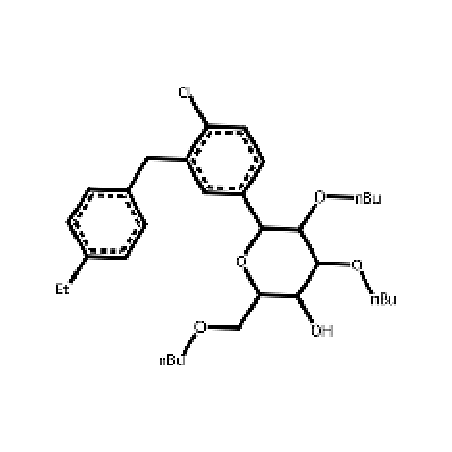 CCCCOCC1OC(c2ccc(Cl)c(Cc3ccc(CC)cc3)c2)C(OCCCC)C(OCCCC)C1O